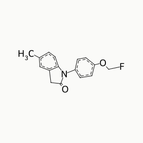 Cc1ccc2c(c1)CC(=O)N2c1ccc(OCF)cc1